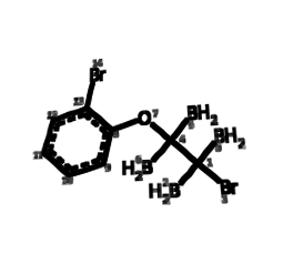 BC(B)(Br)C(B)(B)Oc1ccccc1Br